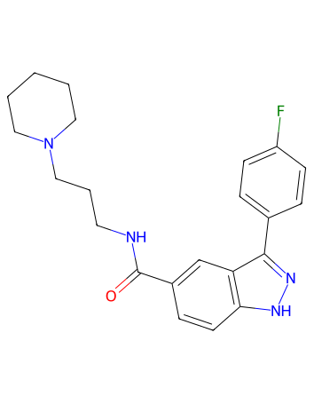 O=C(NCCCN1CCCCC1)c1ccc2[nH]nc(-c3ccc(F)cc3)c2c1